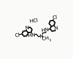 CN(CCNc1ccnc2cc(Cl)ccc12)CCNc1ccnc2cc(Cl)ccc12.Cl